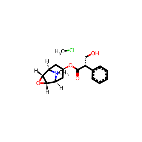 CCl.CN1[C@@H]2C[C@@H](OC(=O)[C@H](CO)c3ccccc3)C[C@H]1[C@@H]1O[C@@H]12